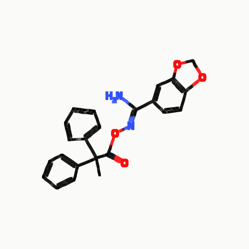 CC(C(=O)O/N=C(\N)c1ccc2c(c1)OCO2)(c1ccccc1)c1ccccc1